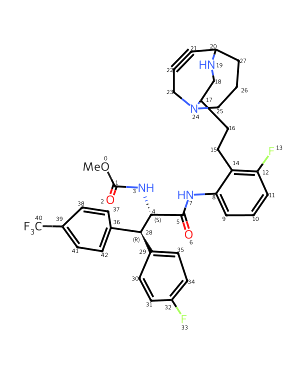 COC(=O)N[C@H](C(=O)Nc1cccc(F)c1CCC1CNC2C#CCN1CCC2)[C@@H](c1ccc(F)cc1)c1ccc(C(F)(F)F)cc1